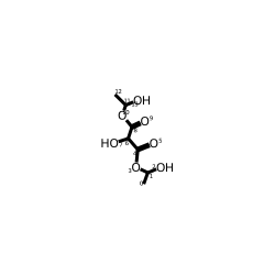 CC(O)OC(=O)C(O)C(=O)OC(C)O